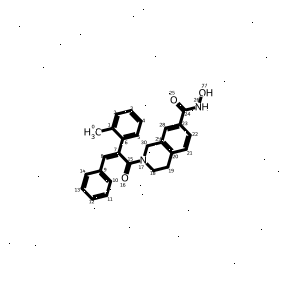 Cc1ccccc1C(=Cc1ccccc1)C(=O)N1CCc2ccc(C(=O)NO)cc2C1